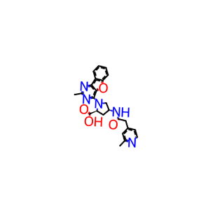 Cc1cc(CC(=O)N[C@H]2C[C@@H](C(=O)O)N(c3nc(C)nc4c3oc3ccccc34)C2)ccn1